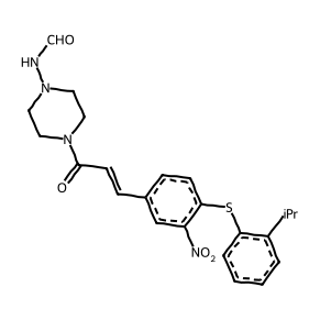 CC(C)c1ccccc1Sc1ccc(/C=C/C(=O)N2CCN(NC=O)CC2)cc1[N+](=O)[O-]